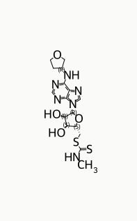 CNC(=S)SC[C@H]1O[C@@H](n2cnc3c(N[C@@H]4CCOC4)ncnc32)[C@H](O)[C@@H]1O